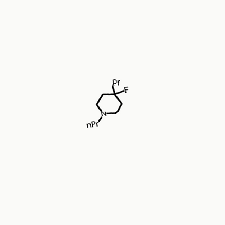 CCCN1CCC(F)(C(C)C)CC1